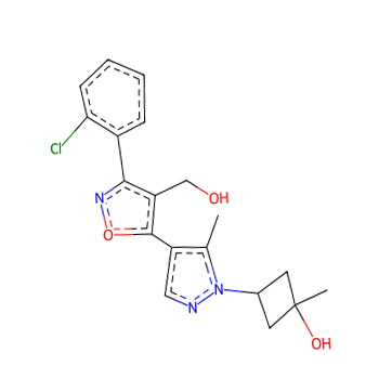 Cc1c(-c2onc(-c3ccccc3Cl)c2CO)cnn1C1CC(C)(O)C1